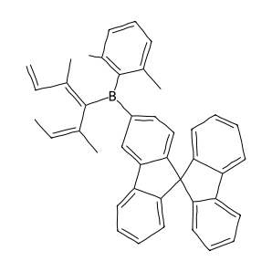 C=C/C(C)=C(B(c1ccc2c(c1)-c1ccccc1C21c2ccccc2-c2ccccc21)c1c(C)cccc1C)\C(C)=C/C